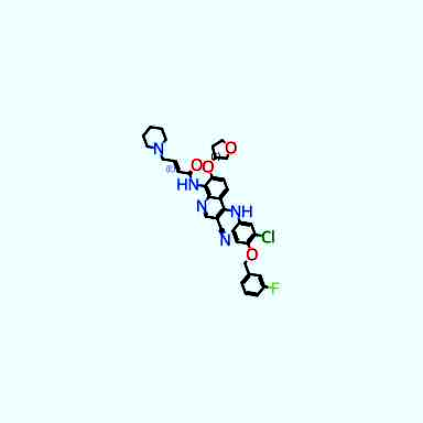 N#Cc1cnc2c(NC(=O)/C=C/CN3CCCCC3)c(O[C@H]3CCOC3)ccc2c1Nc1ccc(OCc2cccc(F)c2)c(Cl)c1